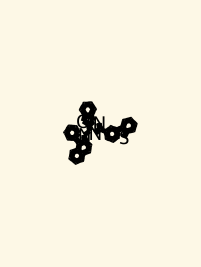 c1ccc2c(c1)ccc1c2c2ccccc2n1-c1nc(-c2ccc3sc4ccccc4c3c2)nc2c1oc1ccccc12